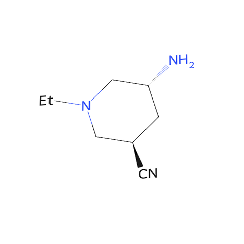 CCN1C[C@H](N)C[C@@H](C#N)C1